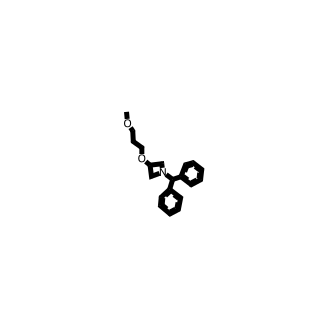 COCCCOC1CN(C(c2ccccc2)c2ccccc2)C1